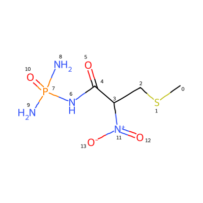 CSCC(C(=O)NP(N)(N)=O)[N+](=O)[O-]